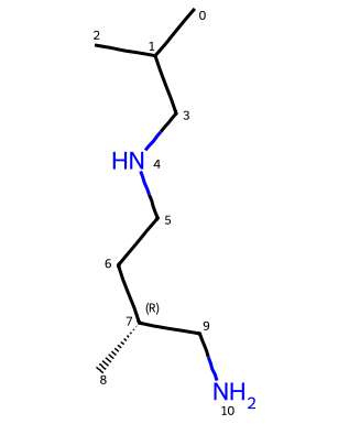 CC(C)CNCC[C@@H](C)CN